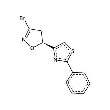 BrC1=NO[C@H](c2csc(-c3ccccc3)n2)C1